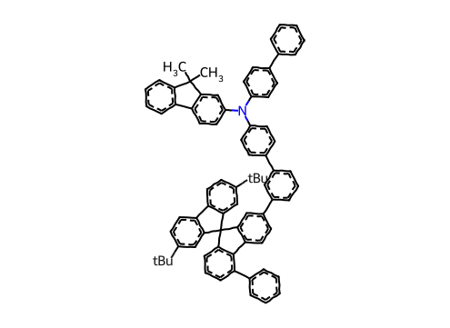 CC(C)(C)c1ccc2c(c1)C1(c3cc(C(C)(C)C)ccc3-2)c2cc(-c3cccc(-c4ccc(N(c5ccc(-c6ccccc6)cc5)c5ccc6c(c5)C(C)(C)c5ccccc5-6)cc4)c3)ccc2-c2c(-c3ccccc3)cccc21